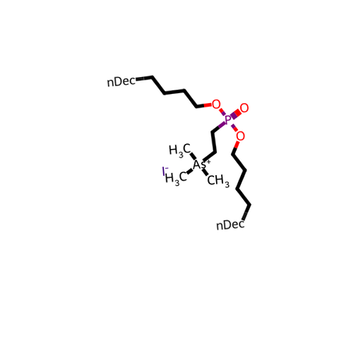 CCCCCCCCCCCCCCOP(=O)(CC[As+](C)(C)C)OCCCCCCCCCCCCCC.[I-]